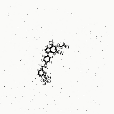 CS(=O)(=O)Nc1nccc(COc2ccc(-n3ccc4c(Cl)c(OCCCl)c(C#N)cc43)cc2)n1